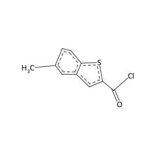 Cc1ccc2sc(C(=O)Cl)cc2c1